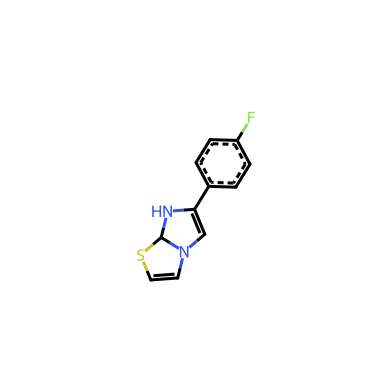 Fc1ccc(C2=CN3C=CSC3N2)cc1